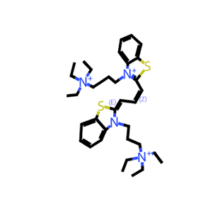 CC[N+](CC)(CC)CCCN1/C(=C\C=C/c2sc3ccccc3[n+]2CCC[N+](CC)(CC)CC)Sc2ccccc21